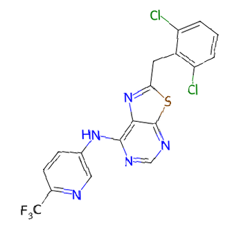 FC(F)(F)c1ccc(Nc2ncnc3sc(Cc4c(Cl)cccc4Cl)nc23)cn1